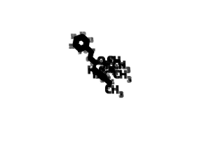 CCC#CC[C@@H](CCc1ccccc1)O[Si](C)(C)C(C)(C)C